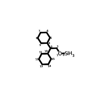 [SiH3]OCC(C1CCCCC1)C1CCCCC1